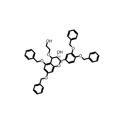 OCCOC1c2c(OCc3ccccc3)cc(OCc3ccccc3)cc2O[C@H](c2ccc(OCc3ccccc3)c(OCc3ccccc3)c2)[C@H]1O